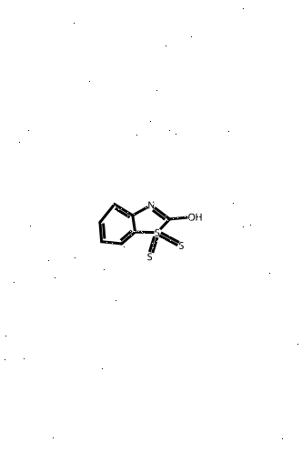 OC1=Nc2ccccc2S1(=S)=S